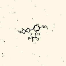 O=C(O)C(F)(F)F.O=[N+]([O-])c1ccc(N2CC3(CNC3)C2)cn1